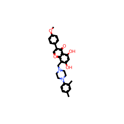 COc1ccc(-c2coc3c(CN4CCN(c5ccc(C)cc5C)CC4)c(O)cc(O)c3c2=O)cc1